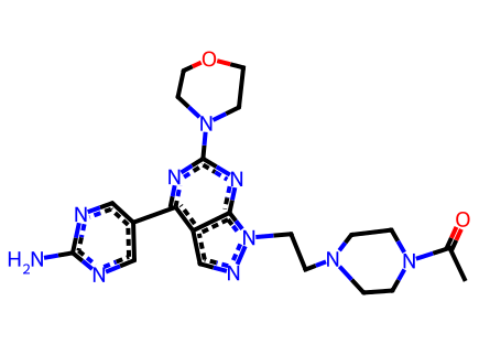 CC(=O)N1CCN(CCn2ncc3c(-c4cnc(N)nc4)nc(N4CCOCC4)nc32)CC1